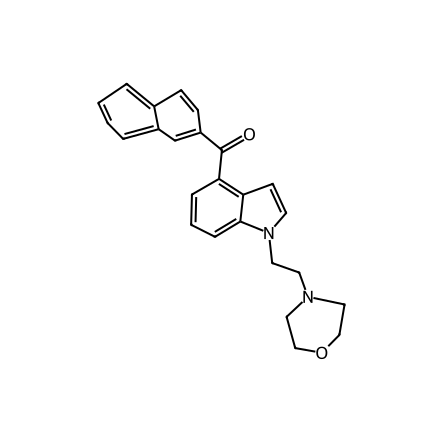 O=C(c1ccc2ccccc2c1)c1cccc2c1ccn2CCN1CCOCC1